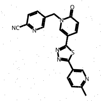 Cc1ccc(-c2nnc(-c3ccc(=O)n(Cc4ccc(C#N)nc4)c3)s2)cn1